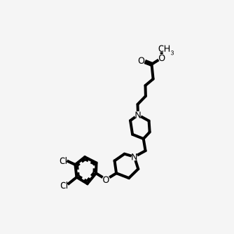 COC(=O)CCCCN1CCC(CN2CCC(Oc3ccc(Cl)c(Cl)c3)CC2)CC1